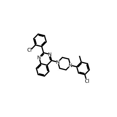 Cc1ccc(Cl)cc1N1CCN(c2nc(-c3ccccc3Cl)nc3ccccc23)CC1